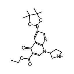 CCOC(=O)c1cn(C2CCNC2)c2ncc(B3OC(C)(C)C(C)(C)O3)cc2c1=O